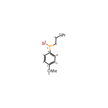 COc1ccc(P(Br)CCC(C)C)cc1